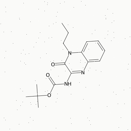 CCCn1c(=O)c(NC(=O)OC(C)(C)C)nc2ccccc21